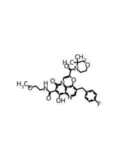 COCCNC(=O)c1c(O)c2ncc(Cc3ccc(F)cc3)c3c2n(c1=O)C=C(C(=O)N1CCOCC1(C)C)O3